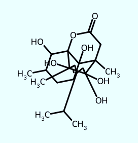 CC1=C(C(C)C)C(O)C2(O)C3(C)CC(=O)OC4(C(O)C(C)CCC34O)C12O